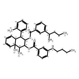 CCCCNc1cccc(C(=O)OC2C(OC(=O)c3cccc(C(N)CCC)c3)C(c3ccccc3C)C3C=CC=CC3(C)C2C)c1